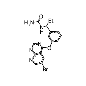 CCC(NC(N)=O)c1cccc(Oc2ncnc3ncc(Br)cc23)c1